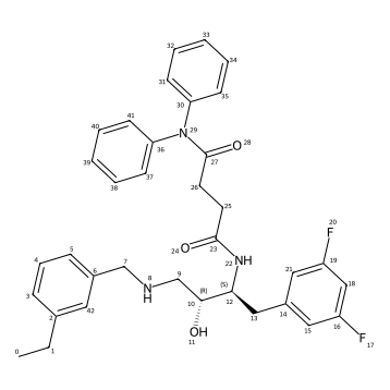 CCc1cccc(CNC[C@@H](O)[C@H](Cc2cc(F)cc(F)c2)NC(=O)CCC(=O)N(c2ccccc2)c2ccccc2)c1